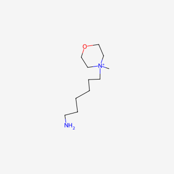 C[N+]1(CCCCCCN)CCOCC1